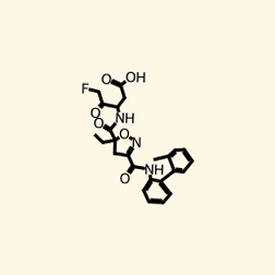 CCC1(C(=O)NC(CC(=O)O)C(=O)CF)CC(C(=O)Nc2ccccc2-c2ccccc2C)=NO1